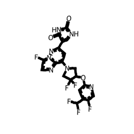 O=c1[nH]cc(-c2cc(N3CC(Oc4cc(C(F)F)c(F)cn4)C(F)(F)C3)c3ncc(F)n3n2)c(=O)[nH]1